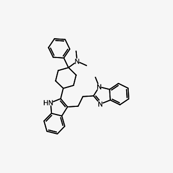 CN(C)C1(c2ccccc2)CCC(c2[nH]c3ccccc3c2CCc2nc3ccccc3n2C)CC1